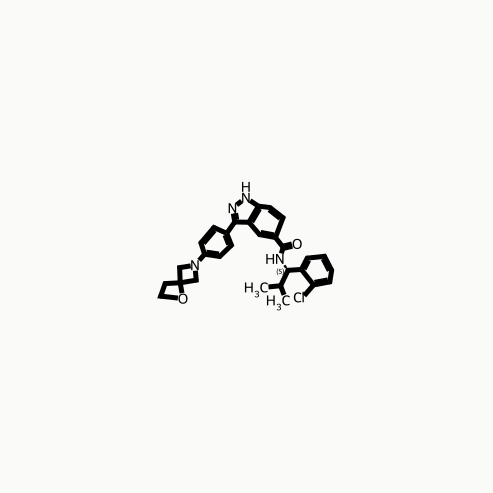 CC(C)[C@H](NC(=O)c1ccc2[nH]nc(-c3ccc(N4CC5(CCO5)C4)cc3)c2c1)c1ccccc1Cl